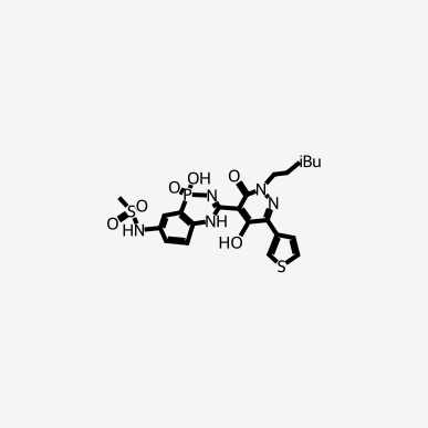 CCC(C)CCn1nc(-c2ccsc2)c(O)c(C2=NP(=O)(O)c3cc(NS(C)(=O)=O)ccc3N2)c1=O